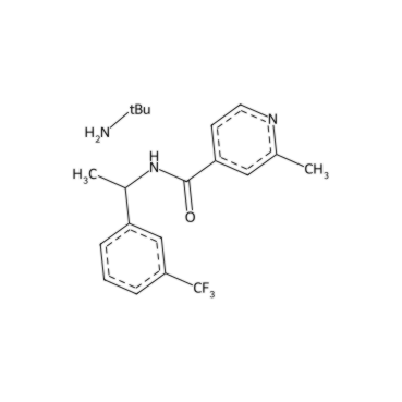 CC(C)(C)N.Cc1cc(C(=O)NC(C)c2cccc(C(F)(F)F)c2)ccn1